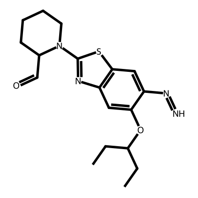 CCC(CC)Oc1cc2nc(N3CCCCC3C=O)sc2cc1N=N